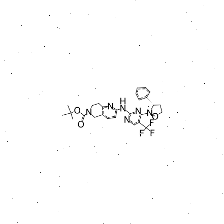 CC(C)(C)OC(=O)N1CCc2nc(Nc3ncc(C(F)(F)F)c(N4OCC[C@H]4c4ccccc4)n3)ccc2C1